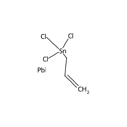 C=C[CH2][Sn]([Cl])([Cl])[Cl].[Pb]